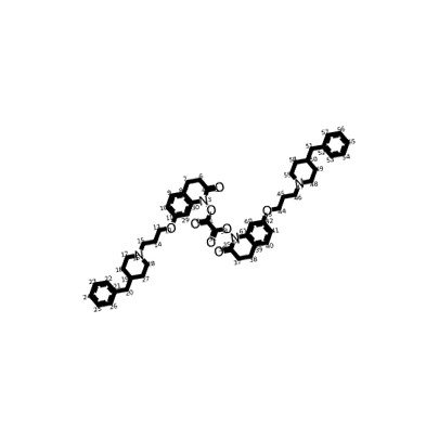 O=C(ON1C(=O)CCc2ccc(OCCCN3CCC(Cc4ccccc4)CC3)cc21)C(=O)ON1C(=O)CCc2ccc(OCCCN3CCC(Cc4ccccc4)CC3)cc21